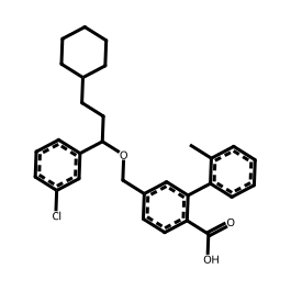 Cc1ccccc1-c1cc(COC(CCC2CCCCC2)c2cccc(Cl)c2)ccc1C(=O)O